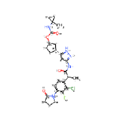 CC(C(=O)Nc1cc([C@@H]2CC[C@@H](OC(=O)NC3(C)CC3)C2)[nH]n1)c1ccc(N2CCCC2=O)c(F)c1Cl